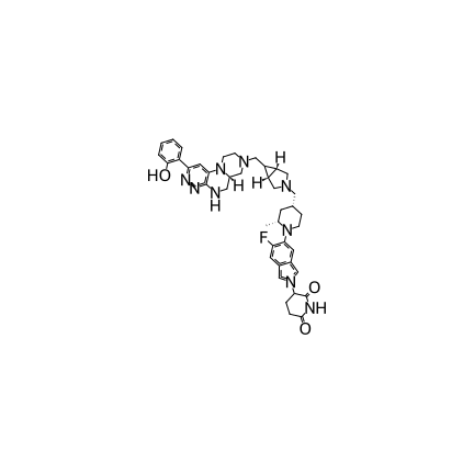 C[C@@H]1C[C@H](CN2C[C@@H]3C(CN4CCN5c6cc(-c7ccccc7O)nnc6NC[C@H]5C4)[C@@H]3C2)CCN1c1cc2cn(C3CCC(=O)NC3=O)cc2cc1F